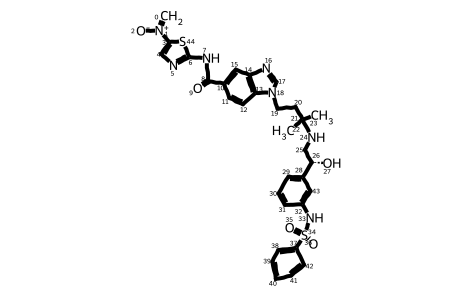 C=[N+]([O-])c1cnc(NC(=O)c2ccc3c(c2)ncn3CCC(C)(C)NC[C@H](O)c2cccc(NS(=O)(=O)c3ccccc3)c2)s1